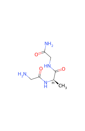 C[C@@H](NC(=O)CN)C(=O)NCC(N)=O